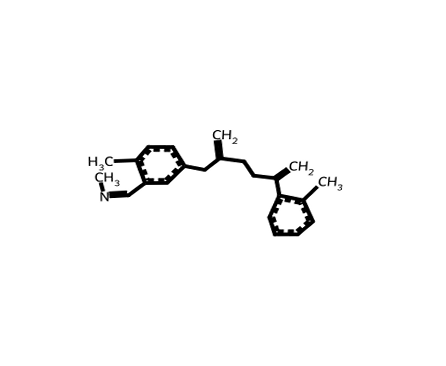 C=C(CCC(=C)c1ccccc1C)Cc1ccc(C)c(/C=N\C)c1